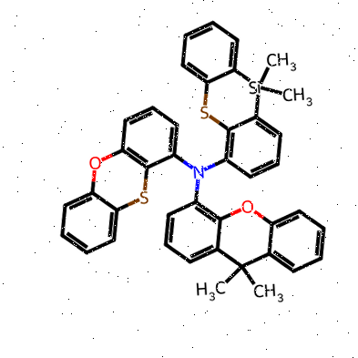 CC1(C)c2ccccc2Oc2c(N(c3cccc4c3Sc3ccccc3O4)c3cccc4c3Sc3ccccc3[Si]4(C)C)cccc21